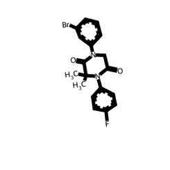 CC1(C)C(=O)N(c2cccc(Br)c2)CC(=O)N1c1ccc(F)cc1